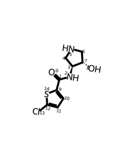 O=C(N[C@H]1CNC[C@@H]1O)c1ccc(Cl)s1